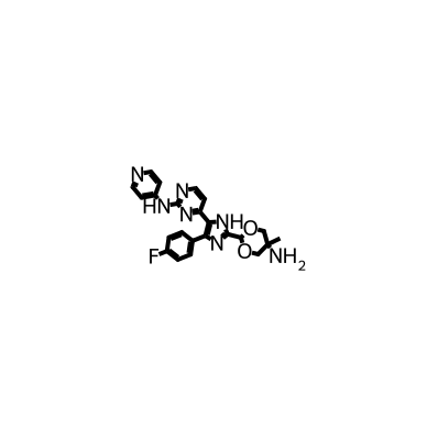 CC1(N)COC(c2nc(-c3ccc(F)cc3)c(-c3ccnc(Nc4ccncc4)n3)[nH]2)OC1